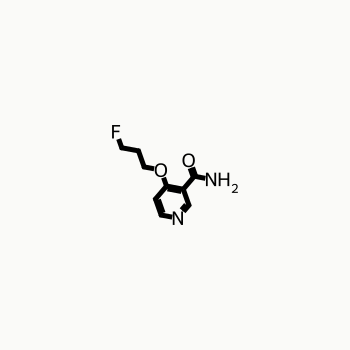 NC(=O)c1cnccc1OCCCF